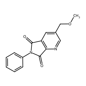 COCc1cnc2c(c1)C(=O)N(c1ccccc1)C2=O